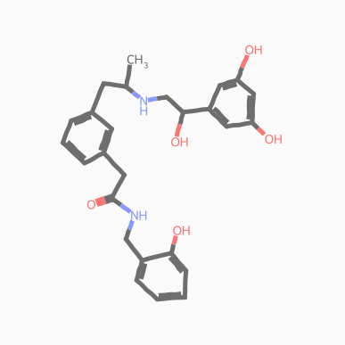 CC(Cc1cccc(CC(=O)NCc2ccccc2O)c1)NCC(O)c1cc(O)cc(O)c1